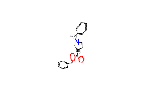 C[C@H](c1ccccc1)N1CC[C@@H](C(=O)OCc2ccccc2)C1